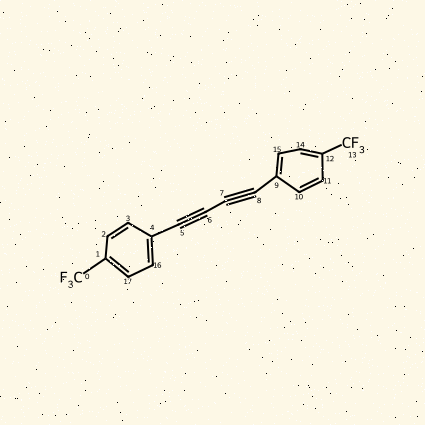 FC(F)(F)c1ccc(C#CC#Cc2ccc(C(F)(F)F)cc2)cc1